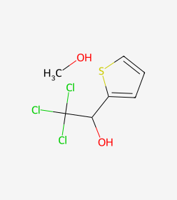 CO.OC(c1cccs1)C(Cl)(Cl)Cl